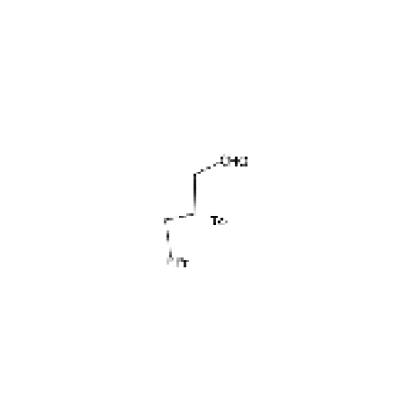 CCCCCCC=O.[Tc]